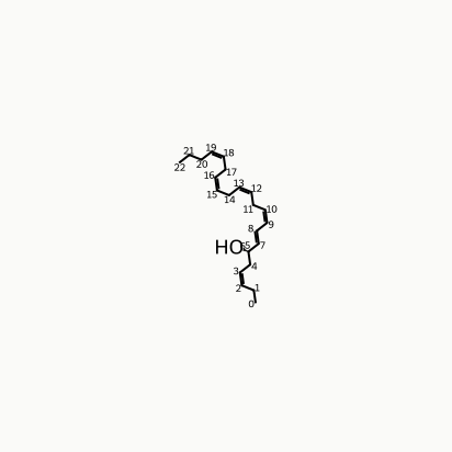 CC/C=C\C[C@@H](O)/C=C/C=C\C/C=C\C/C=C\C/C=C\CCC